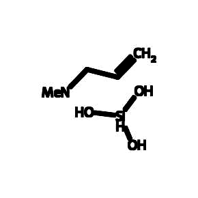 C=CCNC.O[SiH](O)O